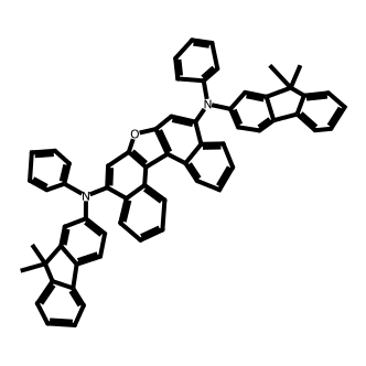 CC1(C)c2ccccc2-c2ccc(N(c3ccccc3)c3cc4oc5cc(N(c6ccccc6)c6ccc7c(c6)C(C)(C)c6ccccc6-7)c6ccccc6c5c4c4ccccc34)cc21